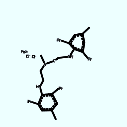 Cc1cc(C(C)C)c(NCCN(C)CCNc2c(C(C)C)cc(C)cc2C(C)C)c(C(C)C)c1.[Cl-].[Cl-].[Fe+2]